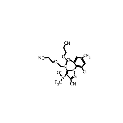 N#CCCOCN(COCCC#N)c1c([S+]([O-])C(F)(F)F)c(C#N)nn1-c1c(Cl)cc(C(F)(F)F)cc1Cl